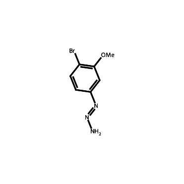 COc1cc(N=NN)ccc1Br